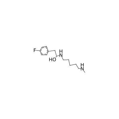 CNCCCCCNC(O)Cc1ccc(F)cc1